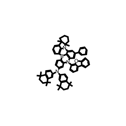 CC1(C)CCC(C)(C)c2cc(N(c3ccc4c(c3)N(c3cccc5c3oc3ccccc35)c3cc(-c5ccccc5)cc5c3B4c3cccc4c3N5C3(C)CCCCC43C)c3ccc4c(c3)C(C)(C)CCC4(C)C)ccc21